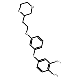 Nc1ccc(Sc2cccc(OCCC3CNCCO3)c2)cc1N